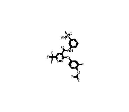 CS(=N)(=O)c1cccc(NC(=O)c2cc(C(F)(F)F)nnc2Oc2ccc(OC(F)F)c(F)c2)c1